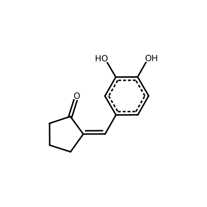 O=C1CCCC1=Cc1ccc(O)c(O)c1